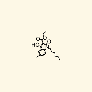 CCCCCCn1c(=O)c(C(=O)OCC)c(O)c2cc(C)ccc21